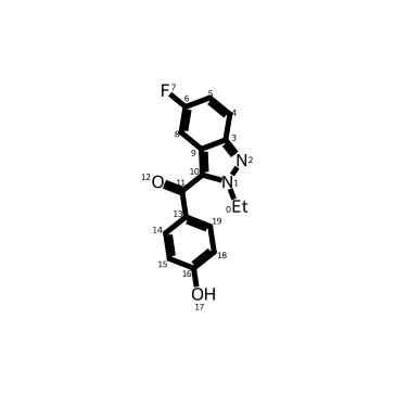 CCn1nc2ccc(F)cc2c1C(=O)c1ccc(O)cc1